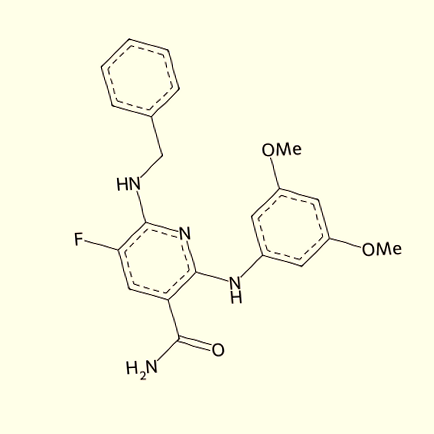 COc1cc(Nc2nc(NCc3ccccc3)c(F)cc2C(N)=O)cc(OC)c1